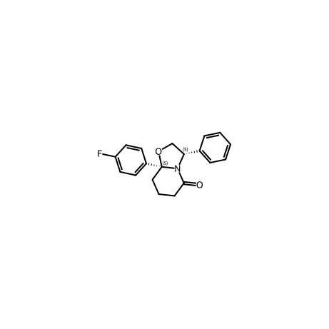 O=C1CCC[C@@]2(c3ccc(F)cc3)OC[C@H](c3ccccc3)N12